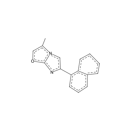 Cc1coc2nc(-c3cccc4ccccc34)cn12